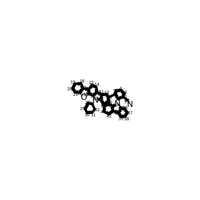 N#Cc1cccc(-c2ccc3c(c2)c2ccc4c5ccccc5oc4c2n3C2C=CC=CC2)c1-n1c2ccccc2c2ccccc21